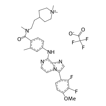 COc1ccc(-c2cnc3c(Nc4ccc(C(=O)N(C)CCC5CC[N+](C)(C)CC5)c(C)c4)nccn23)c(F)c1F.O=C([O-])C(F)(F)F